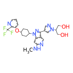 CNc1cc2c(cn1)c(-c1cnn(C(CO)CO)c1)nn2C1CCC(Oc2cccnc2C(F)(F)F)CC1